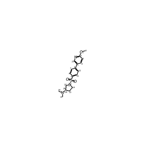 COc1ccc(-c2ccc(S(=O)(=O)N3CC[C@@H](N(C)C)C3)cc2)cn1